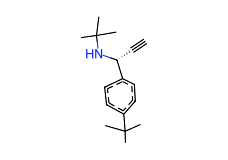 C#C[C@@H](NC(C)(C)C)c1ccc(C(C)(C)C)cc1